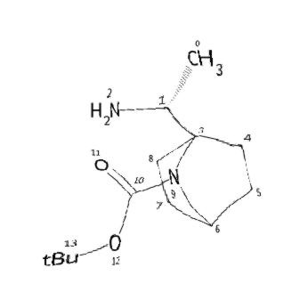 C[C@@H](N)C12CCC(CC1)N2C(=O)OC(C)(C)C